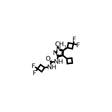 Cn1nc(NC(=O)NC2CC(F)(F)C2)c(C2CCC2)c1C1CC(F)(F)C1